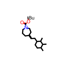 CC1CCC(C/C=C2/CCCN(C(=O)OC(C)(C)C)CC2)C(C)C1C